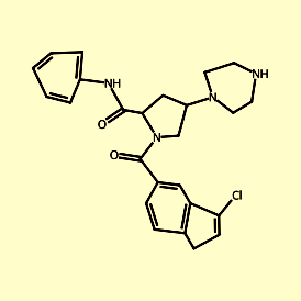 O=C(Nc1ccccc1)C1CC(N2CCNCC2)CN1C(=O)c1ccc2c(c1)C(Cl)=CC2